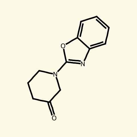 O=C1CCCN(c2nc3ccccc3o2)C1